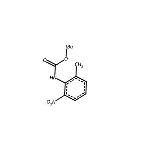 Cc1cccc([N+](=O)[O-])c1NC(=O)OC(C)(C)C